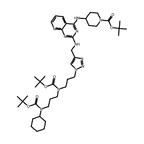 CC(C)(C)OC(=O)N(CCCN(C(=O)OC(C)(C)C)C1CCCCC1)CCCn1cc(CNc2nc(NC3CCN(C(=O)OC(C)(C)C)CC3)c3cccnc3n2)nn1